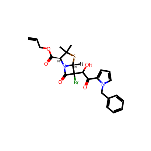 C=CCOC(=O)[C@@H]1N2C(=O)C(Br)(C(O)C(=O)c3cccn3Cc3ccccc3)[C@H]2SC1(C)C